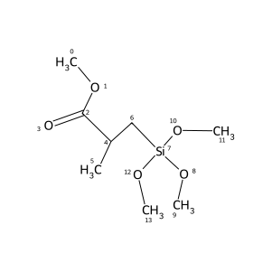 COC(=O)C(C)C[Si](OC)(OC)OC